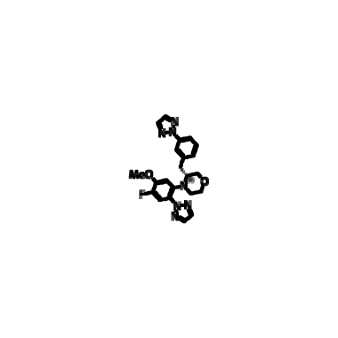 COc1cc(N2CCOC[C@H]2Cc2cccc(-n3nccn3)c2)c(-n2nccn2)cc1F